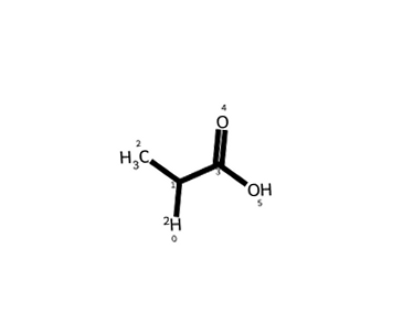 [2H]C(C)C(=O)O